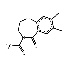 Cc1cc2c(cc1C)C(=O)N(C(=O)C(F)(F)F)CCS2